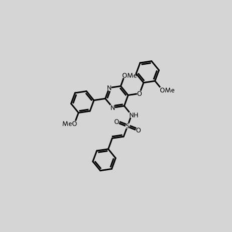 COc1cccc(-c2nc(NS(=O)(=O)C=Cc3ccccc3)c(Oc3ccccc3OC)c(OC)n2)c1